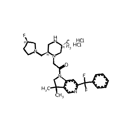 C[C@@H]1CN(CC(=O)N2CC(C)(C)c3cnc(C(F)(F)c4ccccc4)cc32)[C@@H](CN2CC[C@@H](F)C2)CN1.Cl.Cl